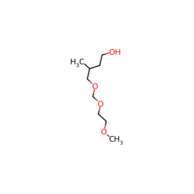 COCCOCOCC(C)CCO